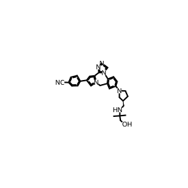 CC(C)(CO)NC[C@@H]1CCN(c2ccc3c(c2)Cn2cc(-c4ccc(C#N)cc4)cc2-c2nncn2-3)C1